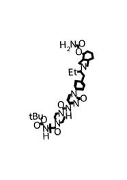 CCC(Cc1ccc(-n2ccc(NC(=O)N3CCN(C(=O)C(C)(C)NC(=O)OC(C)(C)C)CC3)nc2=O)cc1)N1CC2CCCC(OC(N)=O)C2C1